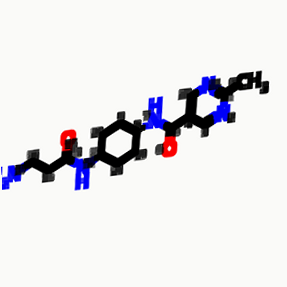 Cc1ncc(C(=O)N[C@H]2CC[C@H](NC(=O)CCN)CC2)cn1